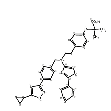 CC(C)(Oc1ccc(CCN(Cc2ccc(-c3noc(C4CC4)n3)cc2)c2noc(-c3ccccn3)n2)cc1)C(=O)O